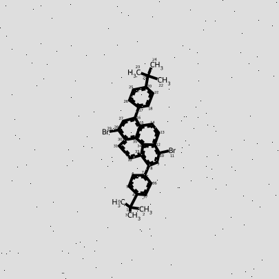 CC(C)(C)c1ccc(-c2cc(Br)c3ccc4c(-c5ccc(C(C)(C)C)cc5)cc(Br)c5ccc2c3c54)cc1